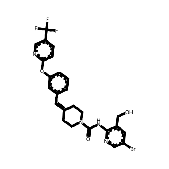 O=C(Nc1ncc(Br)cc1CO)N1CCC(=Cc2cccc(Oc3ccc(C(F)(F)F)cn3)c2)CC1